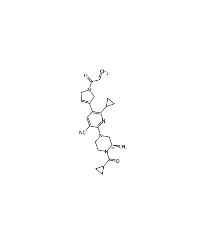 C=CC(=O)N1CC=C(c2cc(C#N)c(N3CCN(C(=O)C4CC4)[C@H](C)C3)nc2C2CC2)C1